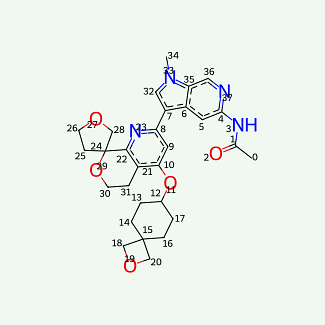 CC(=O)Nc1cc2c(-c3cc(OC4CCC5(CC4)COC5)c4c(n3)C3(CCOC3)OCC4)cn(C)c2cn1